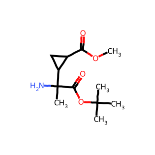 COC(=O)C1CC1C(C)(N)C(=O)OC(C)(C)C